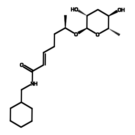 C[C@H](CC/C=C/C(=O)NCC1CCCCC1)O[C@@H]1O[C@@H](C)[C@H](O)C[C@H]1O